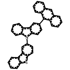 c1ccc2c(-c3ccc4c(c3)c3ccccc3n4-c3ccc4sc5ccccc5c4c3)c3ccccc3cc2c1